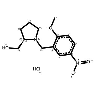 COc1ccc([N+](=O)[O-])cc1CN1CCC[C@@H]1CO.Cl